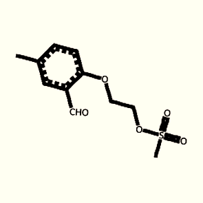 Cc1ccc(OCCOS(C)(=O)=O)c(C=O)c1